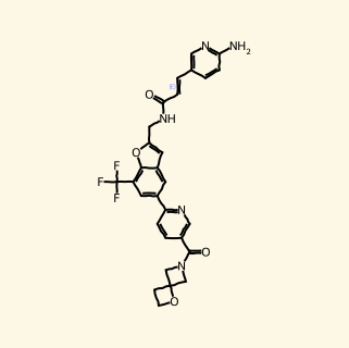 Nc1ccc(/C=C/C(=O)NCc2cc3cc(-c4ccc(C(=O)N5CC6(CCO6)C5)cn4)cc(C(F)(F)F)c3o2)cn1